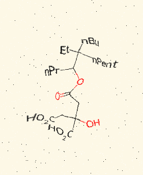 CCCCCC(CC)(CCCC)C(CCC)OC(=O)CC(O)(CC(=O)O)C(=O)O